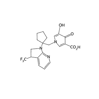 O=C(O)c1cn(CC2(N3CC(C(F)(F)F)c4cccnc43)CCCC2)cc(O)c1=O